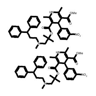 COC(=O)C1=C(C)NC(C)=C(C(=O)OC(C)(C)CN(C)CCC(c2ccccc2)c2ccccc2)C1c1cccc([N+](=O)[O-])c1.COC(=O)C1=C(C)NC(C)=C(C(=O)OC(C)(C)CN(C)CCC(c2ccccc2)c2ccccc2)C1c1cccc([N+](=O)[O-])c1